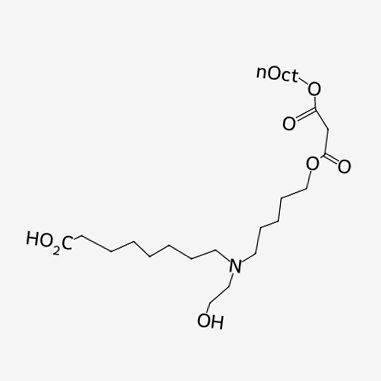 CCCCCCCCOC(=O)CC(=O)OCCCCCN(CCO)CCCCCCCC(=O)O